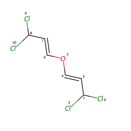 ClC(Cl)C=COC=CC(Cl)Cl